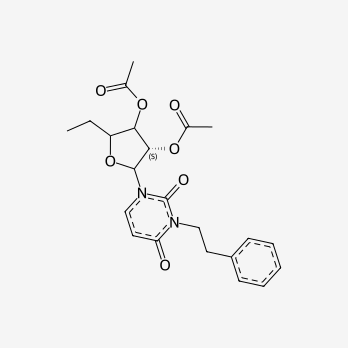 CCC1OC(n2ccc(=O)n(CCc3ccccc3)c2=O)[C@@H](OC(C)=O)C1OC(C)=O